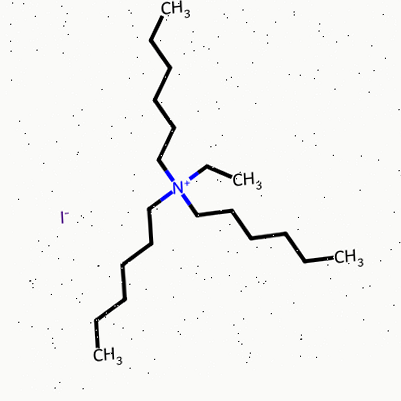 CCCCCC[N+](CC)(CCCCCC)CCCCCC.[I-]